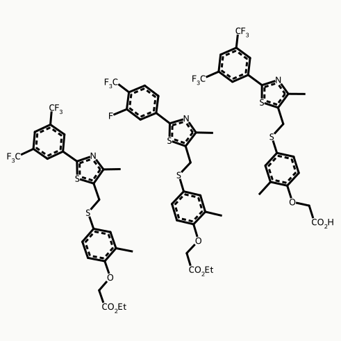 CCOC(=O)COc1ccc(SCc2sc(-c3cc(C(F)(F)F)cc(C(F)(F)F)c3)nc2C)cc1C.CCOC(=O)COc1ccc(SCc2sc(-c3ccc(C(F)(F)F)c(F)c3)nc2C)cc1C.Cc1cc(SCc2sc(-c3cc(C(F)(F)F)cc(C(F)(F)F)c3)nc2C)ccc1OCC(=O)O